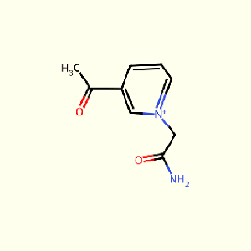 CC(=O)c1ccc[n+](CC(N)=O)c1